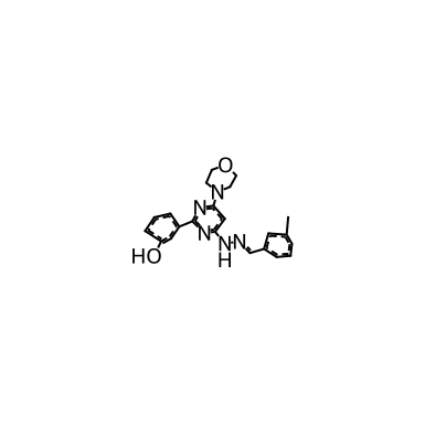 Cc1cccc(C=NNc2cc(N3CCOCC3)nc(-c3cccc(O)c3)n2)c1